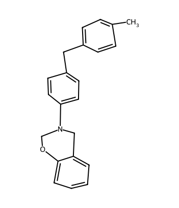 Cc1ccc(Cc2ccc(N3COc4ccccc4C3)cc2)cc1